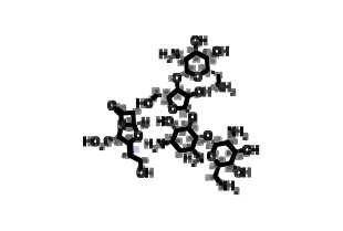 NC[C@@H]1O[C@H](O[C@H]2[C@@H](O)[C@H](O[C@@H]3[C@@H](O)[C@H](N)C[C@H](N)[C@H]3O[C@H]3O[C@H](CN)[C@@H](O)[C@H](O)[C@H]3N)O[C@@H]2CO)[C@H](N)[C@@H](O)[C@@H]1O.O=C(O)[C@H]1/C(=C/CO)O[C@@H]2CC(=O)N21